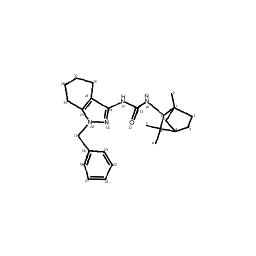 CC12CCC(C1)C(C)(C)C2NC(=O)Nc1nn(Cc2ccccc2)c2c1CCCC2